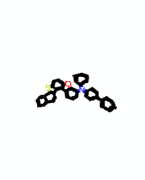 c1ccc(-c2ccc(N(c3ccccc3)c3cccc4c3oc3ccc5sc6c7ccccc7ccc6c5c34)cc2)cc1